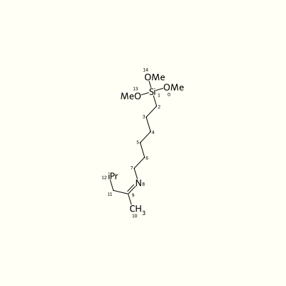 CO[Si](CCCCCC/N=C(/C)CC(C)C)(OC)OC